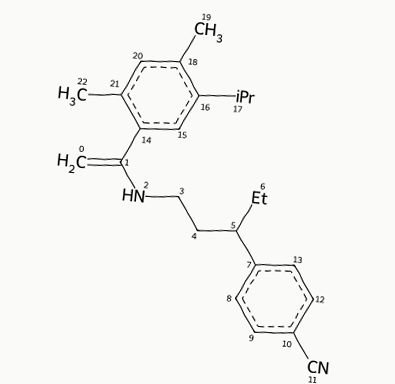 C=C(NCCC(CC)c1ccc(C#N)cc1)c1cc(C(C)C)c(C)cc1C